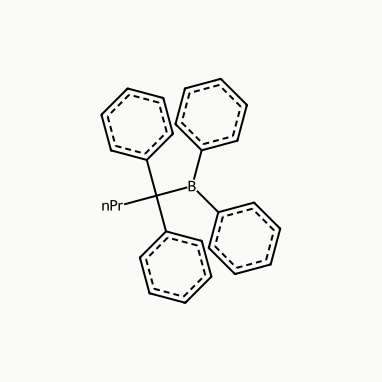 CCCC(B(c1ccccc1)c1ccccc1)(c1ccccc1)c1ccccc1